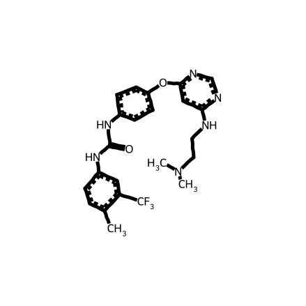 Cc1ccc(NC(=O)Nc2ccc(Oc3cc(NCCN(C)C)ncn3)cc2)cc1C(F)(F)F